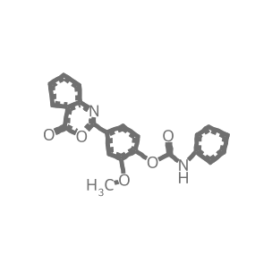 COc1cc(-c2nc3ccccc3c(=O)o2)ccc1OC(=O)Nc1ccccc1